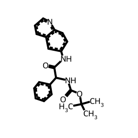 CC(C)(C)OC(=O)NC(C(=O)Nc1ccc2ncccc2c1)c1ccccc1